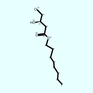 CCCCCCCCOC(=O)C[C@@H](O)CCl